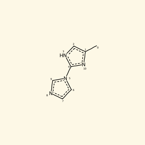 Cc1c[nH]c(-n2ccnc2)n1